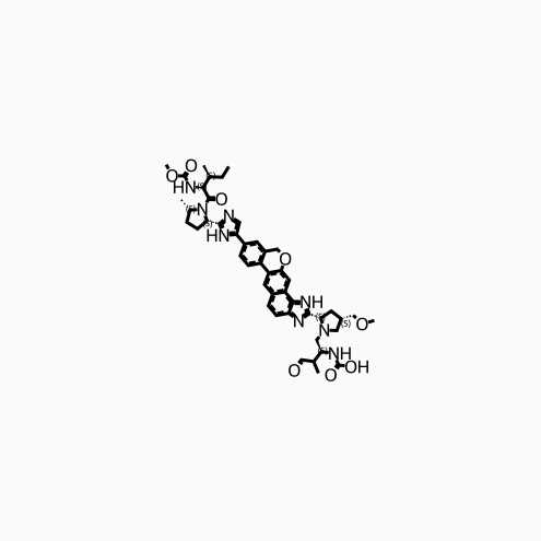 CC[C@H](C)[C@H](NC(=O)OC)C(=O)N1[C@@H](C)CC[C@H]1c1ncc(-c2ccc3c(c2)COc2cc4c(ccc5nc([C@@H]6C[C@H](COC)CN6C[C@@H](NC(=O)O)C(C)C=O)[nH]c54)cc2-3)[nH]1